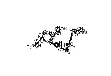 CSC(C)(C)C1CC(=O)N(CCCCCC(=O)N[C@H](C(=O)N[C@@H](C)C(=O)Nc2ccc(CSP3(=O)OC[C@H]4O[C@@H](n5cnc6c(N)ncnc65)[C@H](F)[C@@H]4OP(=O)(S)OC[C@H]4O[C@@H](n5cnc6c(O)ncnc65)[C@H](F)[C@@H]4O3)cc2)C(C)C)C1=O